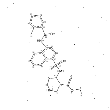 CCOC(=O)C1CNCCC1NS(=O)(=O)c1ccc(NC(=O)c2ccccc2C)c2ccccc12